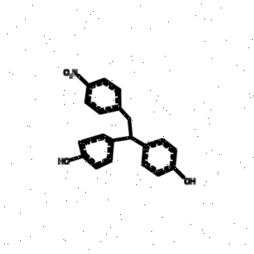 O=[N+]([O-])c1ccc(CC(c2ccc(O)cc2)c2ccc(O)cc2)cc1